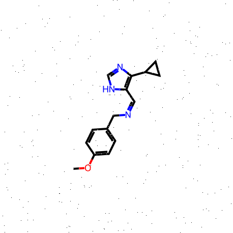 COc1ccc(C/N=C\c2[nH]cnc2C2CC2)cc1